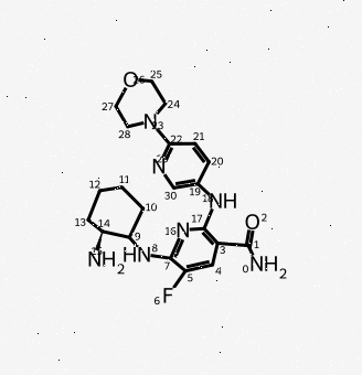 NC(=O)c1cc(F)c(NC2CCCC[C@@H]2N)nc1Nc1ccc(N2CCOCC2)nc1